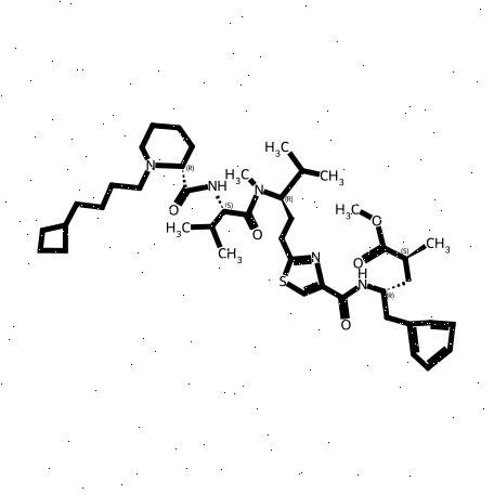 COC(=O)[C@@H](C)C[C@H](Cc1ccccc1)NC(=O)c1csc(CC[C@H](C(C)C)N(C)C(=O)[C@@H](NC(=O)[C@H]2CCCCN2CCCCC2CCC2)C(C)C)n1